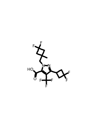 CC1(Cn2nc(C3CC(F)(F)C3)c(C(F)(F)F)c2C(=O)O)CC(F)(F)C1